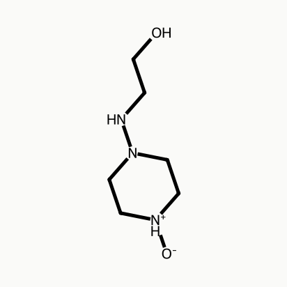 [O-][NH+]1CCN(NCCO)CC1